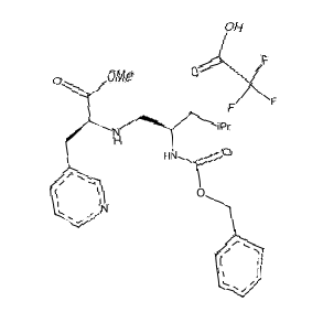 COC(=O)[C@H](Cc1cccnc1)NC[C@@H](CC(C)C)NC(=O)OCc1ccccc1.O=C(O)C(F)(F)F